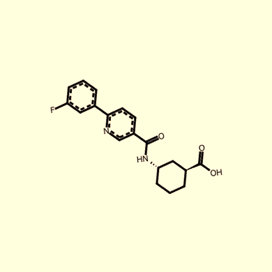 O=C(N[C@H]1CCC[C@H](C(=O)O)C1)c1ccc(-c2cccc(F)c2)nc1